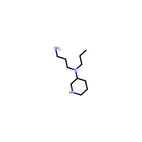 CCCN(CCCN)C1CCCNC1